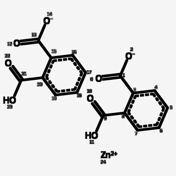 O=C([O-])c1ccccc1C(=O)O.O=C([O-])c1ccccc1C(=O)O.[Zn+2]